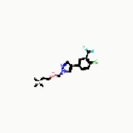 C[Si](C)(C)CCOCn1cc(-c2ccc(Cl)c(C(F)F)c2)cn1